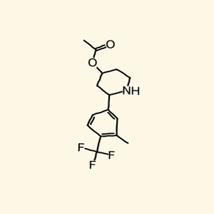 CC(=O)OC1CCNC(c2ccc(C(F)(F)F)c(C)c2)C1